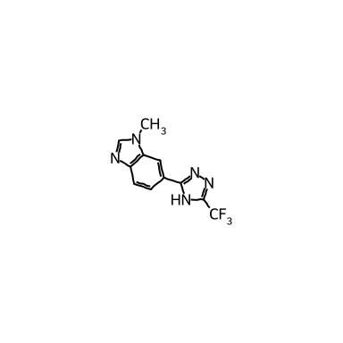 Cn1cnc2ccc(-c3nnc(C(F)(F)F)[nH]3)cc21